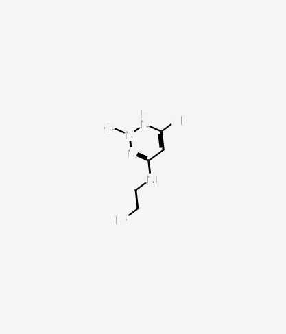 OCCNC1=NN(Cl)NC(Cl)=C1